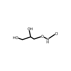 OCC(O)CONCl